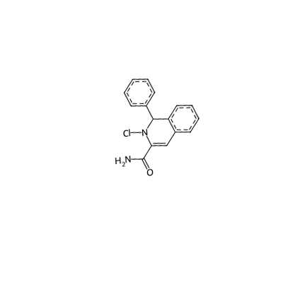 NC(=O)C1=Cc2ccccc2C(c2ccccc2)N1Cl